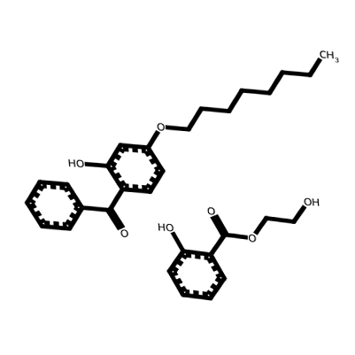 CCCCCCCCOc1ccc(C(=O)c2ccccc2)c(O)c1.O=C(OCCO)c1ccccc1O